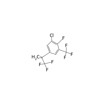 C=C(c1cc(Cl)c(F)c(C(F)(F)F)c1)C(F)(F)F